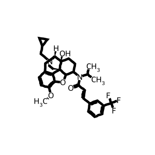 COc1ccc2c3c1OC1C(N(C(=O)/C=C/c4cccc(C(F)(F)F)c4)C(C)C)CC[C@@]4(O)[C@@H](C2)N(CC2CC2)CC[C@]314